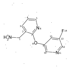 NCc1cccnc1Oc1cncc(F)c1